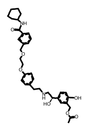 CC(=O)OCc1cc([C@@H](O)CNCCc2ccc(OCCOCc3cccc(C(=O)NC4CCCCC4)c3)cc2)ccc1O